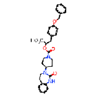 O=C(O)C(Cc1ccc(OCc2ccccc2)cc1)OC(=O)N1CCC(N2CCc3ccccc3NC2=O)CC1